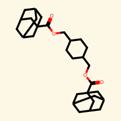 O=C(OCC1CCC(COC(=O)C23CC4CC(CC(C4)C2)C3)CC1)C12CC3CC(CC(C3)C1)C2